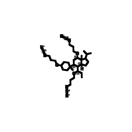 CC[C@@H](OCCCN=[N+]=[N-])C1[C@@H](C2(C)CCC(OCCCN=[N+]=[N-])CC2)C[C@H](OCCCN=[N+]=[N-])C2(C)C(C(C)C)CC[C@@H]12